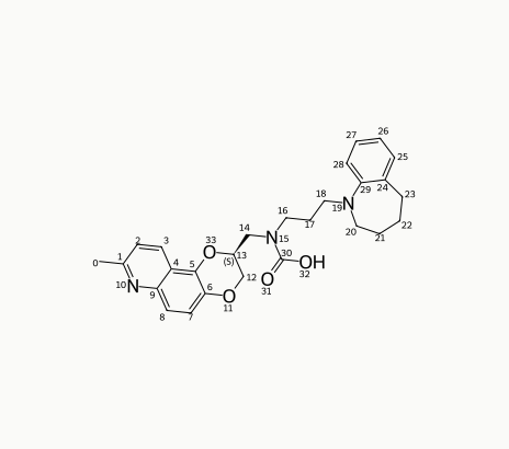 Cc1ccc2c3c(ccc2n1)OC[C@H](CN(CCCN1CCCCc2ccccc21)C(=O)O)O3